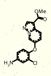 COC(=O)c1cnn2cc(Oc3ccc(N)cc3Cl)ccc12